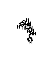 N#Cc1cnc(NCc2ccncc2)nc1NC[C@@]12CC3C[C@H](C1)[C@@H](N)[C@@H](C3)C2